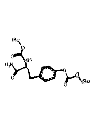 CC(C)(C)OC(=O)N[C@@H](Cc1ccc(OC(=O)OC(C)(C)C)cc1)C(N)=O